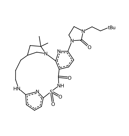 CC(C)(C)CCN1CCN(c2ccc3c(n2)N2CC(CCCNc4cccc(n4)S(=O)(=O)NC3=O)CC2(C)C)C1=O